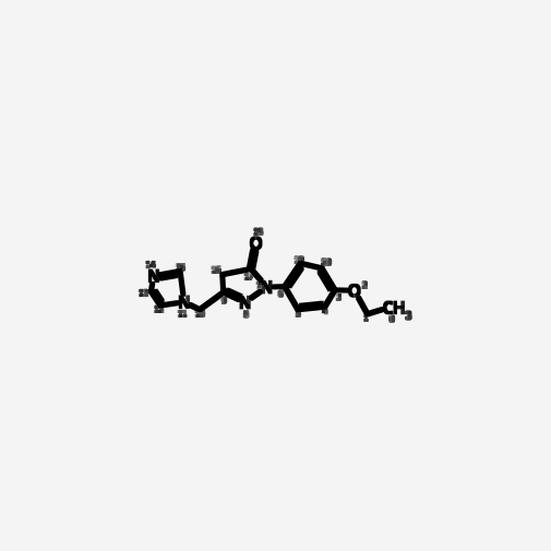 CCOc1ccc(N2N=C(Cn3ccnc3)CC2=O)cc1